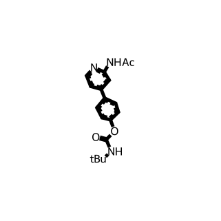 CC(=O)Nc1cc(-c2ccc(OC(=O)NC(C)(C)C)cc2)ccn1